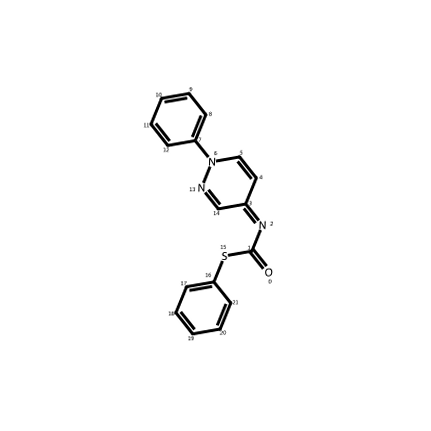 O=C(N=c1ccn(-c2ccccc2)nc1)Sc1ccccc1